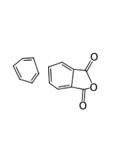 O=C1OC(=O)c2ccccc21.c1ccccc1